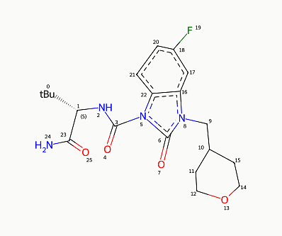 CC(C)(C)[C@H](NC(=O)n1c(=O)n(CC2CCOCC2)c2cc(F)ccc21)C(N)=O